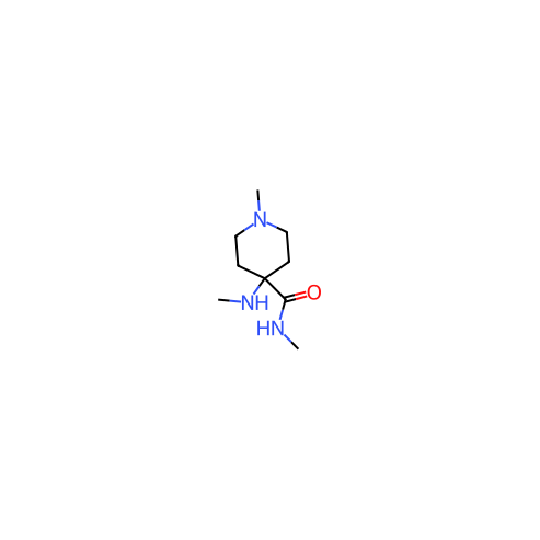 CNC(=O)C1(NC)CCN(C)CC1